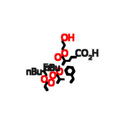 C=C(C)C(=O)OCCCC.C=C(CC=CC(=O)O)C(=O)OCCCO.C=CC(=O)OCC(CC)CCCC.C=Cc1ccccc1